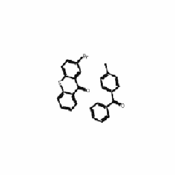 CC(C)c1ccc2sc3ccccc3c(=O)c2c1.Cc1ccc(C(=O)c2ccccc2)cc1